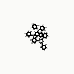 c1ccc(-c2nc(-c3ccccc3)nc(-c3cccc4c3c3c5ccccc5c(N(c5ccccc5)c5ccccc5)cc3n4-c3ccccc3)n2)cc1